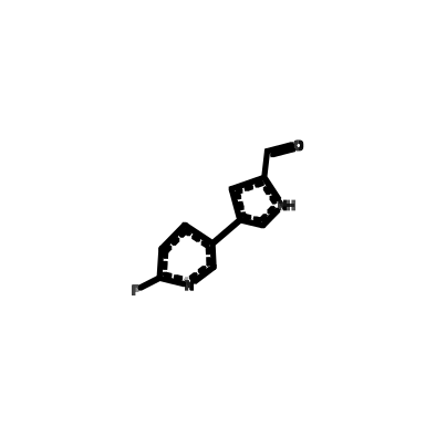 O=Cc1cc(-c2ccc(F)nc2)c[nH]1